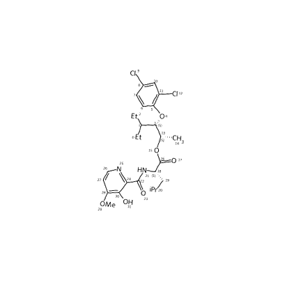 CCC(CC)[C@H](Oc1ccc(Cl)cc1Cl)[C@H](C)OC(=O)[C@H](CC(C)C)NC(=O)c1nccc(OC)c1O